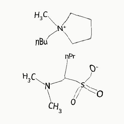 CCCC(N(C)C)S(=O)(=O)[O-].CCCC[N+]1(C)CCCC1